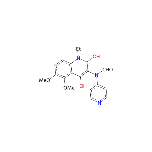 CCN1c2ccc(OC)c(OC)c2C(O)=C(N(C=O)c2ccncc2)C1O